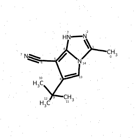 Cc1n[nH]c2c(C#N)c(C(C)(C)C)cn12